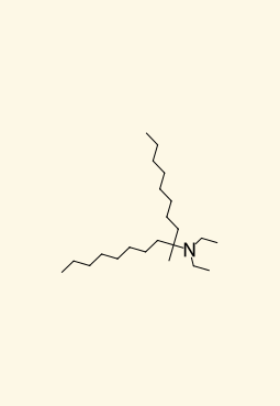 CCCCCCCCC(C)(CCCCCCCC)N(CC)CC